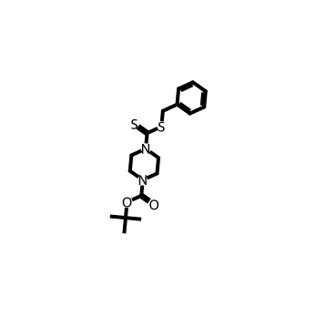 CC(C)(C)OC(=O)N1CCN(C(=S)SCc2ccccc2)CC1